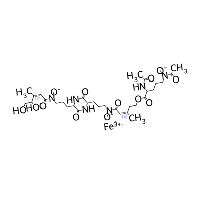 CC(=O)NC(CCCN([O-])C(C)=O)C(=O)OCC/C(C)=C\C(=O)N([O-])CCCC1NC(=O)C(CCCN([O-])C(=O)/C=C(/C)C(O)CO)NC1=O.[Fe+3]